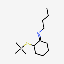 CCCCN=C1CCCCC1S[Si](C)(C)C